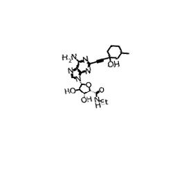 CCNC(=O)[C@H]1O[C@@H](n2cnc3c(N)nc(C#CC4(O)CCCC(C)C4)nc32)C(O)[C@H]1O